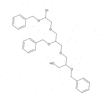 CCC(COCC(COCC(CO)OCc1ccccc1)OCc1ccccc1)OCc1ccccc1